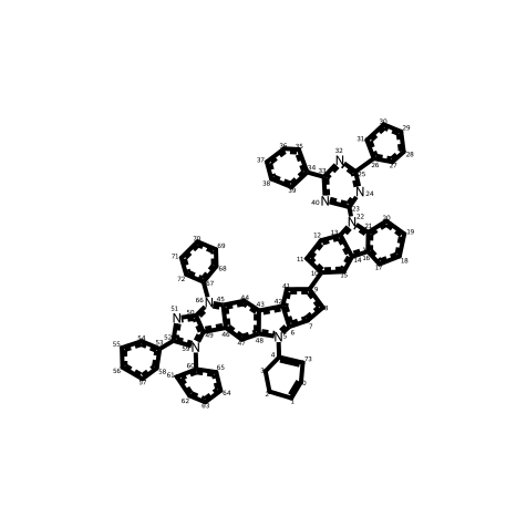 C1=CCCC(n2c3ccc(-c4ccc5c(c4)c4ccccc4n5-c4nc(-c5ccccc5)nc(-c5ccccc5)n4)cc3c3cc4c(cc32)c2c(nc(-c3ccccc3)n2-c2ccccc2)n4-c2ccccc2)=C1